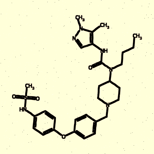 CCCCN(C(=O)Nc1cnn(C)c1C)C1CCN(Cc2ccc(Oc3ccc(NS(C)(=O)=O)cc3)cc2)CC1